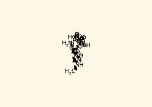 C=CCNc1ccn([C@H]2C[C@H](OON)[C@@H](COP(=O)(O)OP(=O)(O)OP(=O)(O)O)O2)c(=O)n1